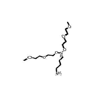 COCCOCCO[SiH](CCCCN)OCCOCCOC